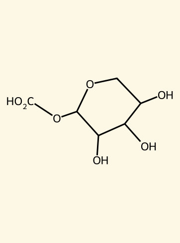 O=C(O)OC1OCC(O)C(O)C1O